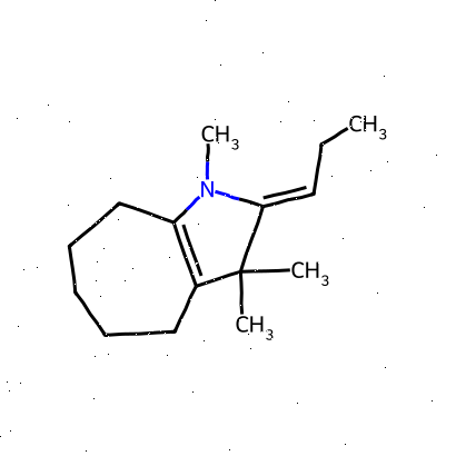 CC/C=C1\N(C)C2=C(CCCCC2)C1(C)C